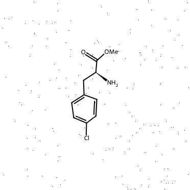 COC(=O)[C@@H](N)Cc1ccc(Cl)cc1